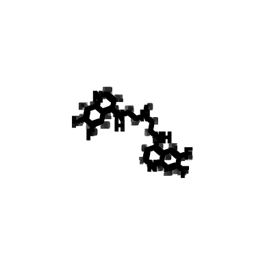 CN(CCNc1ccnc2cc(F)c(F)cc12)CCNc1ccnc2cc(F)c(F)cc12